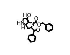 O=C(c1ccccc1)C1C[C@H]2NCC(O)=C2N1C(=O)OCc1ccccc1